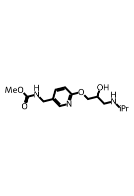 COC(=O)NCc1ccc(OCC(O)CNC(C)C)nc1